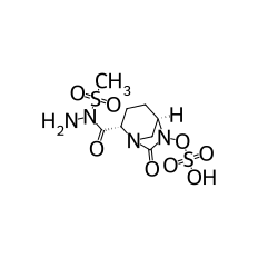 CS(=O)(=O)N(N)C(=O)[C@@H]1CC[C@@H]2CN1C(=O)N2OS(=O)(=O)O